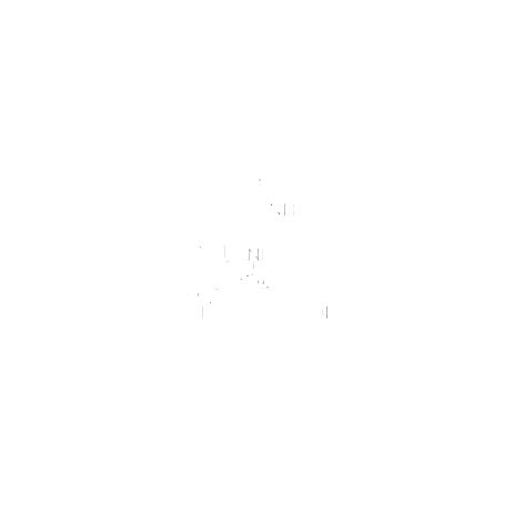 C/C1=C\[C@@H](C)C/C=C/C2[C@@H]3O[C@]3(C)[C@@H](C)[C@H]3[C@H](Cc4c[nH]c5ccccc45)NC(=O)[C@@]23C(=O)/C=C\C(=O)[C@@H]1O